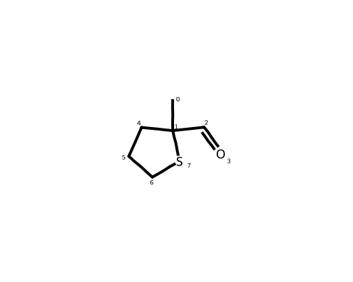 CC1(C=O)CCCS1